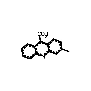 Cc1ccc2c(C(=O)O)c3ccccc3nc2c1